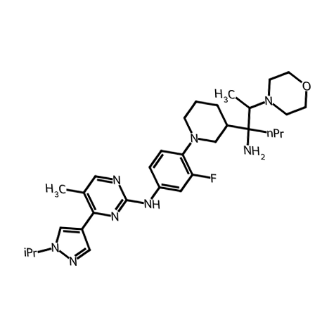 CCCC(N)(C1CCCN(c2ccc(Nc3ncc(C)c(-c4cnn(C(C)C)c4)n3)cc2F)C1)C(C)N1CCOCC1